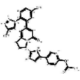 NC(=O)Oc1ccc(-c2cnc([C@@H]3CCc4cc(-c5cc(Cl)ccc5-n5cc(Cl)nn5)cc(=O)n43)[nH]2)cn1